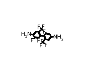 Nc1ccc(-c2c(C(F)(F)F)cc(N)c(F)c2F)c(C(F)(F)F)c1